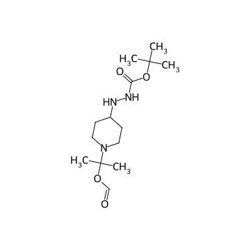 CC(C)(C)OC(=O)NNC1CCN(C(C)(C)OC=O)CC1